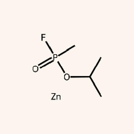 CC(C)OP(C)(=O)F.[Zn]